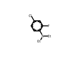 CCN(CC)c1ccc(Cl)cc1F